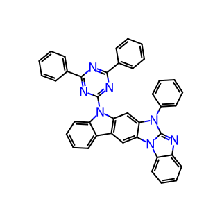 c1ccc(-c2nc(-c3ccccc3)nc(-n3c4ccccc4c4cc5c(cc43)n(-c3ccccc3)c3nc4ccccc4n53)n2)cc1